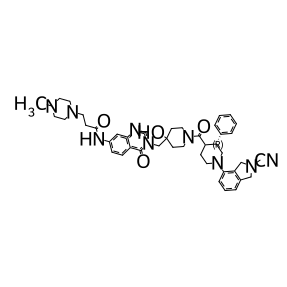 CN1CCN(CCC(=O)Nc2ccc3c(=O)n(CC4(O)CCN(C(=O)C5CCN(c6cccc7c6CN(C#N)C7)C[C@H]5c5ccccc5)CC4)cnc3c2)CC1